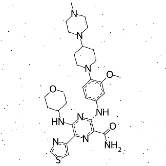 COc1cc(Nc2nc(NC3CCOCC3)c(-c3cscn3)nc2C(N)=O)ccc1N1CCC(N2CCN(C)CC2)CC1